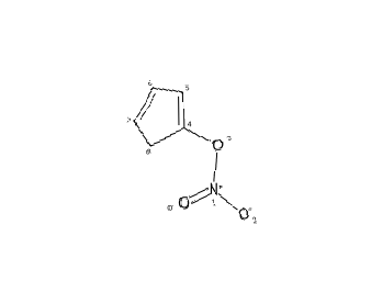 O=[N+]([O-])OC1=CC=CC1